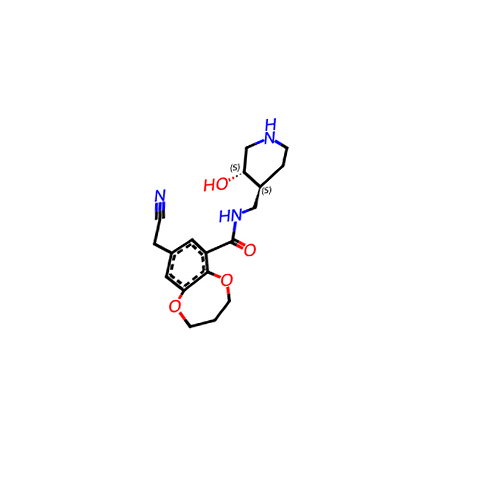 N#CCc1cc2c(c(C(=O)NC[C@@H]3CCNC[C@H]3O)c1)OCCCO2